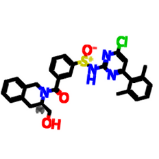 Cc1cccc(C)c1-c1cc(Cl)nc(N[S+]([O-])c2cccc(C(=O)N3Cc4ccccc4C[C@@H]3CO)c2)n1